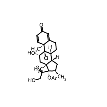 CC(=O)O[C@@]1(C(=O)CO)[C@H](C)C[C@H]2[C@@H]3CCC4=CC(=O)C=C[C@]4(C)[C@@]3(Cl)[C@@H](O)C[C@@]21C